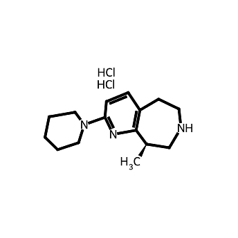 C[C@@H]1CNCCc2ccc(N3CCCCC3)nc21.Cl.Cl